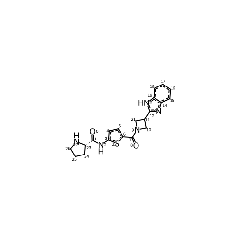 O=C(Nc1ccc(C(=O)N2CC(c3nc4ccccc4[nH]3)C2)s1)[C@@H]1CCCN1